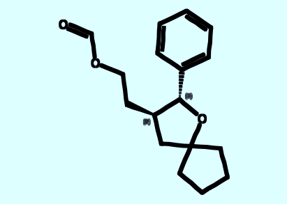 O=COCC[C@@H]1CC2(CCCC2)O[C@H]1c1ccccc1